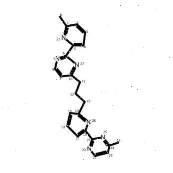 Cc1cccc(-c2nccc(CCCc3cccc(-c4nccc(C)n4)n3)n2)n1